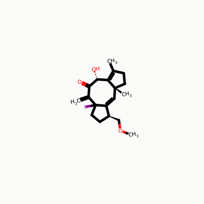 C=C1C(=O)[C@H](O)C2=C(C)CC[C@]2(C)/C=C2/[C@@H](COC)CCC12I